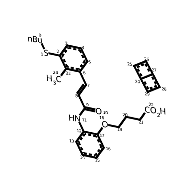 CCCCSc1cccc(C=CC(=O)Nc2ccccc2OCCCC(=O)O)c1C.c1cc2ccc1-2